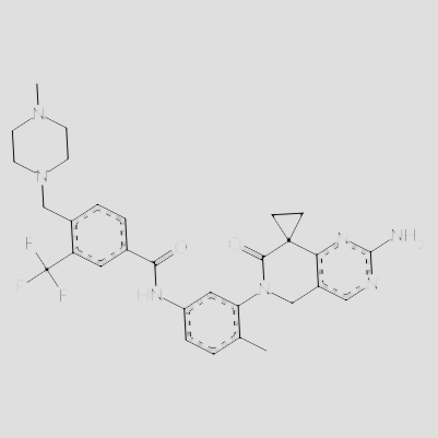 Cc1ccc(NC(=O)c2ccc(CN3CCN(C)CC3)c(C(F)(F)F)c2)cc1N1Cc2cnc(N)nc2C2(CC2)C1=O